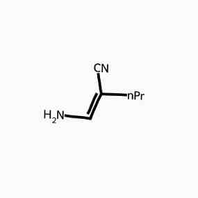 CCC/C(C#N)=C/N